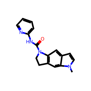 Cn1ccc2cc3c(cc21)CCN3C(=O)Nc1ccccn1